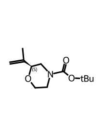 C=C(C)[C@H]1CN(C(=O)OC(C)(C)C)CCO1